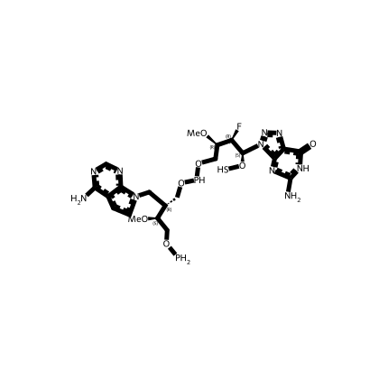 CO[C@H](COP)[C@@H](COPOC[C@@H](OC)[C@@H](F)[C@H](OS)n1nnc2c(=O)[nH]c(N)nc21)Cn1ccc2c(N)ncnc21